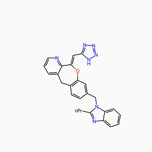 CCCc1nc2ccccc2n1Cc1ccc2c(c1)OC(=Cc1nnn[nH]1)c1ncccc1C2